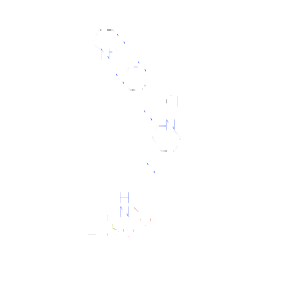 CC1c2cnc(-c3ncccn3)nc2CCN1c1cc(N2CCC(C(=O)NS(C)(=O)=O)CC2)cc(F)n1